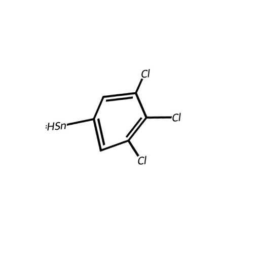 Clc1c[c]([SnH])cc(Cl)c1Cl